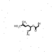 CC(=O)CC(=O)OC(CC=C(C)C(=O)O)CSC(C)=O